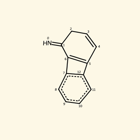 N=C1CC=CC2=C1c1ccccc12